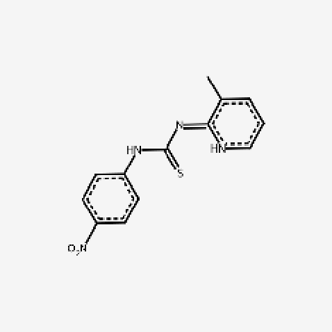 Cc1ccc[nH]c1=NC(=S)Nc1ccc([N+](=O)[O-])cc1